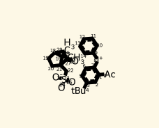 CC(=O)c1cc(C(C)(C)C)ccc1[I+]c1ccccc1.CC1(C)C2CCC1(CS(=O)(=O)[O-])C(=O)C2